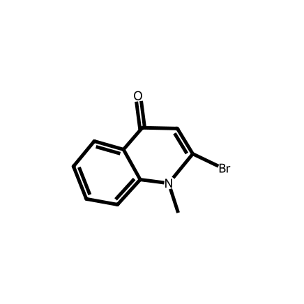 Cn1c(Br)cc(=O)c2ccccc21